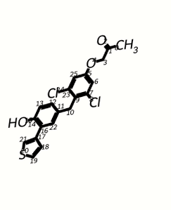 CC(=O)COc1cc(Cl)c(Cc2ccc(O)c(-c3ccsc3)c2)c(Cl)c1